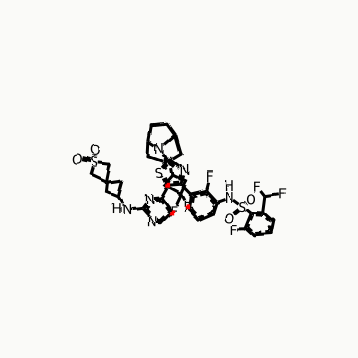 O=S1(=O)CC2(CC(Nc3nccc(-c4sc(N5C6CCC5CN(C5CC(F)(F)C5)C6)nc4-c4cccc(NS(=O)(=O)c5c(F)cccc5C(F)F)c4F)n3)C2)C1